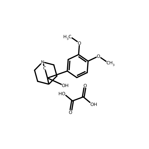 COc1ccc(C2(O)CN3CCC2CC3)cc1OC.O=C(O)C(=O)O